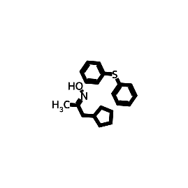 CC(CC1CCCC1)=NO.c1ccc(Sc2ccccc2)cc1